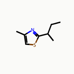 CCC(C)c1nc(C)cs1